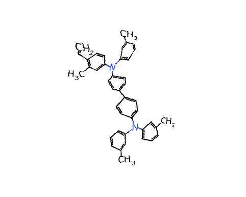 C=Cc1ccc(N(c2ccc(-c3ccc(N(c4cccc(C)c4)c4cccc(C)c4)cc3)cc2)c2cccc(C)c2)cc1C